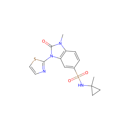 Cn1c(=O)n(-c2nccs2)c2cc(S(=O)(=O)NC3(C)CC3)ccc21